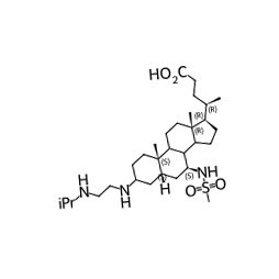 CC(C)NCCNC1CC[C@]2(C)C3CC[C@@]4(C)C(CC[C@@H]4[C@H](C)CCC(=O)O)C3[C@@H](NS(C)(=O)=O)C[C@@H]2C1